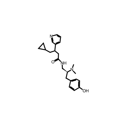 CN(C)[C@H](CNC(=O)CC(CC1CC1)c1cccnc1)Cc1ccc(O)cc1